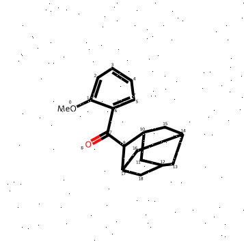 COc1ccccc1C(=O)C1C2CC3CC(C2)CC1C3